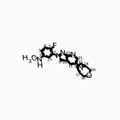 CNc1ccc(F)c(-n2cc3cc(N4C5CCC4COC5)cnc3n2)c1